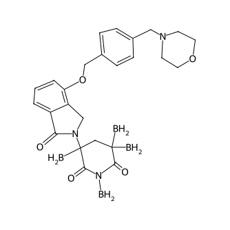 BN1C(=O)C(B)(B)CC(B)(N2Cc3c(OCc4ccc(CN5CCOCC5)cc4)cccc3C2=O)C1=O